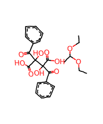 CCOC(C)OCC.O=C(O)C(O)(C(=O)c1ccccc1)C(O)(C(=O)O)C(=O)c1ccccc1